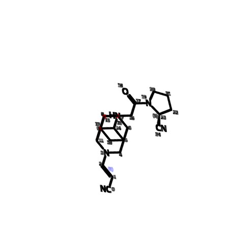 N#C/C=C/N1CC23CC4CC(C2)C1C(C4)C3NCC(=O)N1CCC[C@H]1C#N